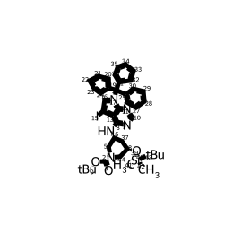 CC(C)(C)OC(=O)N1C[C@H](Nc2ncnc3c2c(I)cn3C(c2ccccc2)(c2ccccc2)c2ccccc2)C[C@H](O[Si](C)(C)C(C)(C)C)C1